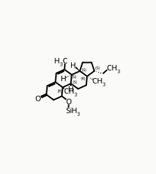 CC[C@H]1CC[C@H]2[C@@H]3C(C)=CC4=CC(=O)CC(O[SiH3])[C@]4(C)[C@H]3CC[C@]12C